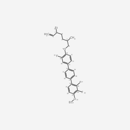 C=CC(CC)CCC(C)COc1ccc(-c2ccc(-c3ccc(OCC)c(F)c3F)cc2)cc1F